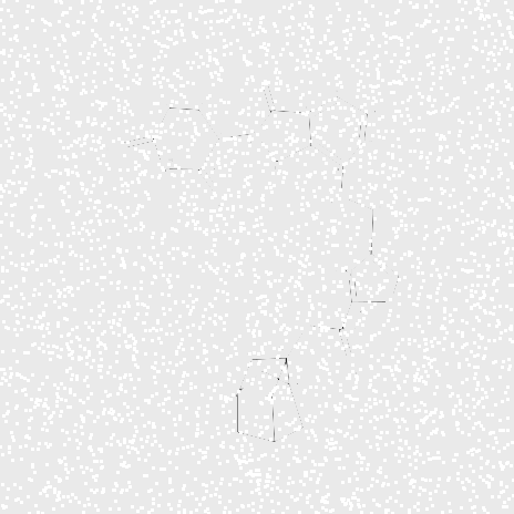 O=C1CCC(N2Cc3c(OCc4csc(C(=O)OC56CC7CC(CC5C7)C6)n4)cccc3C2=O)C(=O)N1